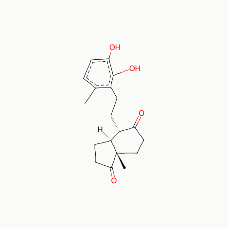 Cc1ccc(O)c(O)c1CC[C@@H]1C(=O)CC[C@]2(C)C(=O)CC[C@@H]12